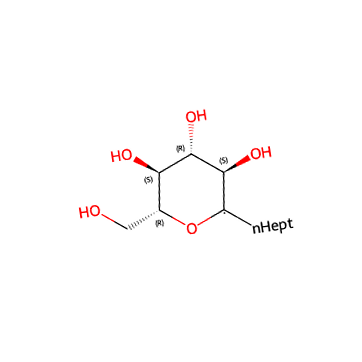 CCCCCCC[C]1O[C@H](CO)[C@@H](O)[C@H](O)[C@H]1O